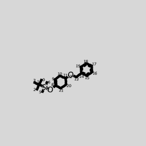 CC(C)(C)[Si](C)(C)OC1=CCC(OCc2ccccc2)CC1